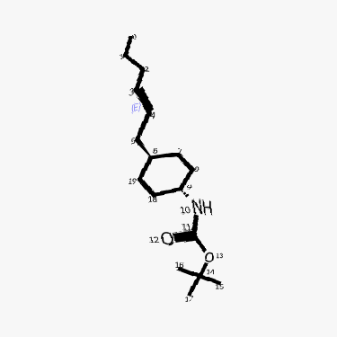 CCC/C=C/C[C@H]1CC[C@H](NC(=O)OC(C)(C)C)CC1